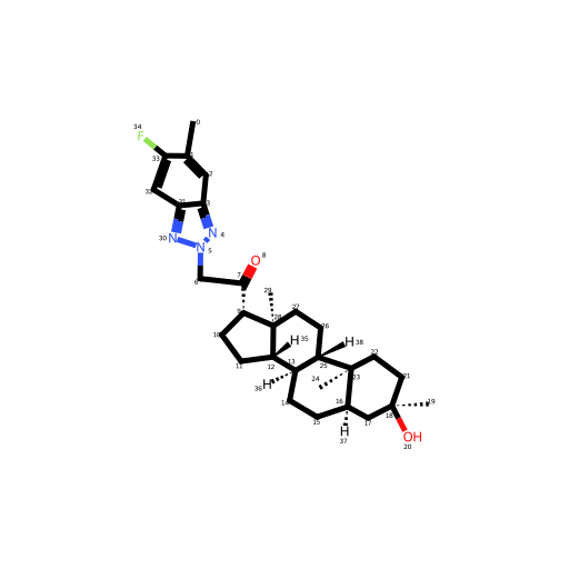 Cc1cc2nn(CC(=O)[C@H]3CC[C@H]4[C@@H]5CC[C@@H]6C[C@](C)(O)CC[C@]6(C)[C@H]5CC[C@]34C)nc2cc1F